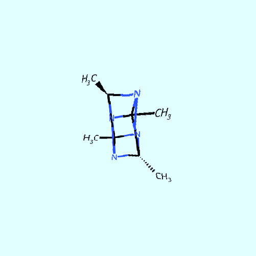 CC12N3C4(C)N1[C@]1(C)N2[C@@]3(C)N41